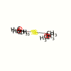 CO[SiH](OC)C(C)CCCCCCCCCSSSSSCCCCCCCCCC(C)[SiH](OC)OC